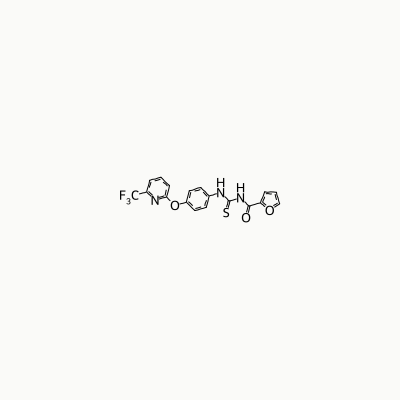 O=C(NC(=S)Nc1ccc(Oc2cccc(C(F)(F)F)n2)cc1)c1ccco1